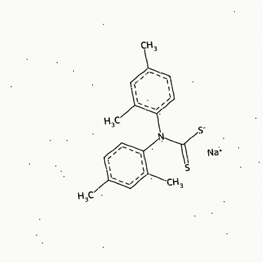 Cc1ccc(N(C(=S)[S-])c2ccc(C)cc2C)c(C)c1.[Na+]